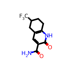 NC(=O)c1cc2c([nH]c1=O)CCC(C(F)(F)F)C2